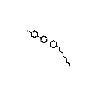 F/C=C/CCCCC[C@H]1CC[C@H](c2ccc(-c3ccc(F)cc3)cc2)CC1